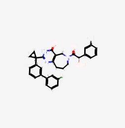 O=C([C@H](O)c1cccc(C(F)(F)F)c1)N1CCCc2nc(C3(c4cccc(-c5cccc(F)c5)c4)CC3)[nH]c(=O)c2C1